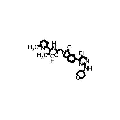 Cc1cccc(C(NC(=O)CN2Cc3ccc(-c4nc(NC5CCOCC5)ncc4Cl)cc3C2=O)C(C)O)n1